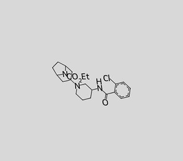 CCOC(=O)N1C2CCC1CC(N1CCCC(NC(=O)c3ccccc3Cl)C1)C2